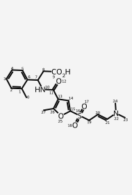 Cc1ccccc1C(CC(=O)O)NC(=O)c1cc(S(=O)(=O)CC=CN(C)C)oc1C